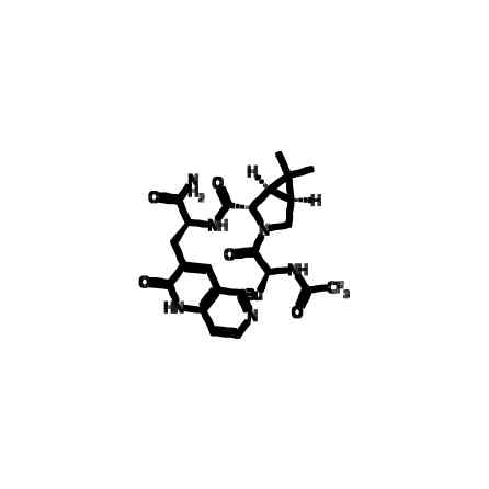 CC(C)(C)[C@H](NC(=O)C(F)(F)F)C(=O)N1C[C@H]2[C@@H]([C@H]1C(=O)N[C@@H](Cc1cc3cnccc3[nH]c1=O)C(N)=O)C2(C)C